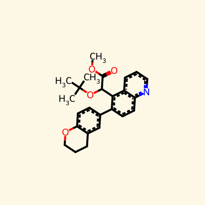 COC(=O)C(OC(C)(C)C)c1c(-c2ccc3c(c2)CCCO3)ccc2ncccc12